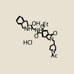 CCOc1cc2c(cc1C(=O)NCC(O)[C@@H]1Cc3ccccc3CN1)CN(CC1CCN(C(C)=O)CC1)C2=O.Cl